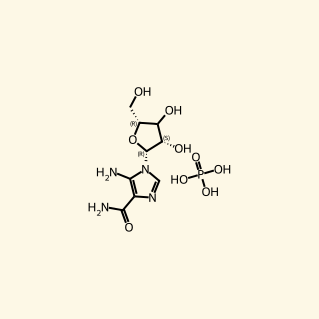 NC(=O)c1ncn([C@@H]2O[C@H](CO)C(O)[C@@H]2O)c1N.O=P(O)(O)O